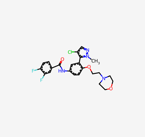 Cn1ncc(Cl)c1-c1cc(NC(=O)c2ccc(F)c(F)c2)ccc1OCCN1CCOCC1